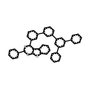 c1ccc(-c2cc(-c3ccccc3)cc(-c3cccc(-c4cccc(-c5nc(-c6ccccc6)nc6oc7ccccc7c56)c4)c3)c2)cc1